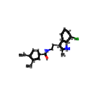 COc1ccc(C(=O)NCCc2c(C(F)(F)F)[nH]c3c(Cl)cccc23)cc1OC